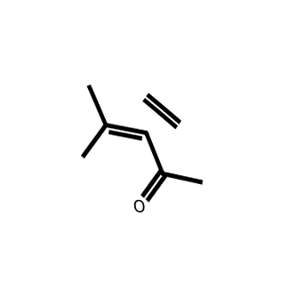 C=C.CC(=O)C=C(C)C